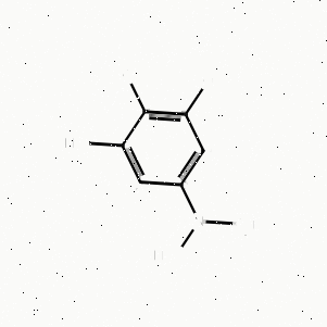 Cc1c(O)cc(N(C)C)cc1O